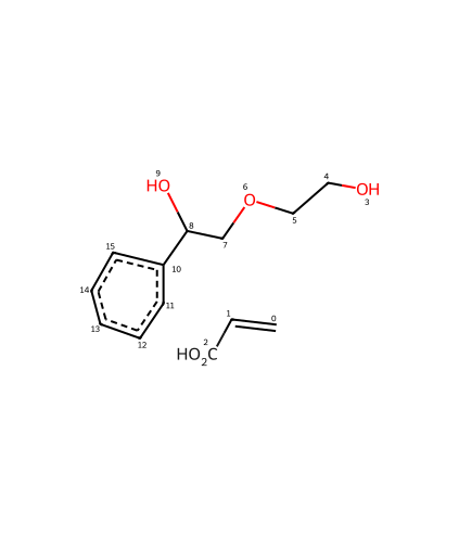 C=CC(=O)O.OCCOCC(O)c1ccccc1